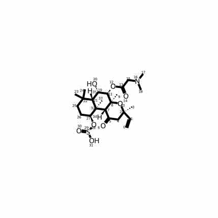 C=C[C@@]1(C)CC(=O)[C@H]2[C@](C)(O1)[C@@H](OC(=O)CN(C)C)[C@@H](O)[C@H]1C(C)(C)CC[C@H](OS(=O)O)[C@@]12C